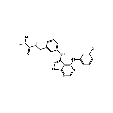 C[C@H](N)C(=O)NCc1cccc(Nc2n[nH]c3ncnc(Nc4cccc(Cl)c4)c23)c1